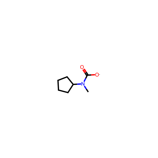 CN(C([O])=O)C1CCCC1